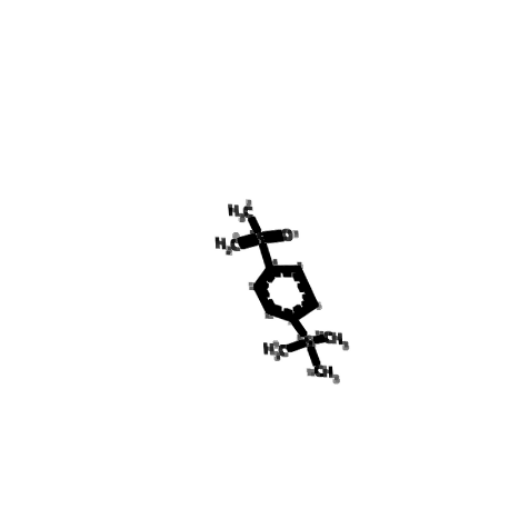 C=S(C)(=O)c1ccc([Si](C)(C)C)cc1